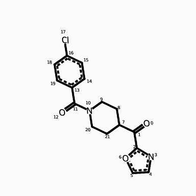 O=C(c1ncco1)C1CCN(C(=O)c2ccc(Cl)cc2)CC1